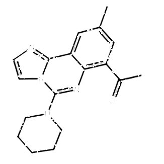 CC(=O)c1cc(C)cc2c1nc(N1CCCCC1)n1ccnc21